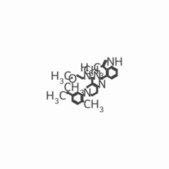 COCCN(C)c1nc(-c2cccc3[nH]cc(C)c23)nc2c1CN(c1cc(C(C)C)ccc1C)CC2